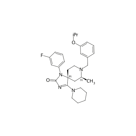 CC(C)Oc1cccc(CN2CC[C@@]3(C[C@@H]2C)C(N2CCCCC2)=NC(=O)N3c2cccc(F)c2)c1